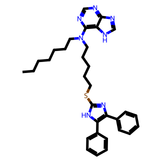 CCCCCCCN(CCCCCSc1nc(-c2ccccc2)c(-c2ccccc2)[nH]1)c1ncnc2nc[nH]c12